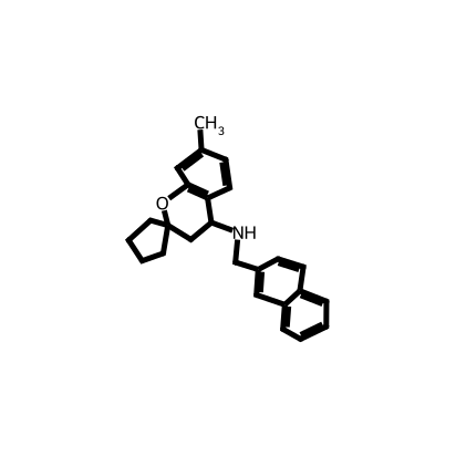 Cc1ccc2c(c1)OC1(CCCC1)CC2NCc1ccc2ccccc2c1